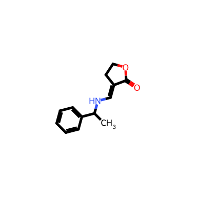 CC(NC=C1CCOC1=O)c1ccccc1